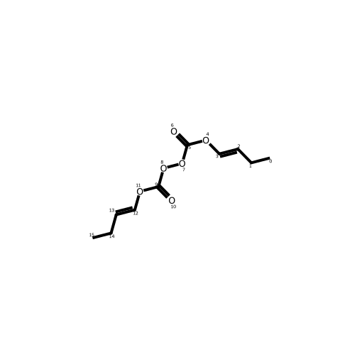 CCC=COC(=O)OOC(=O)OC=CCC